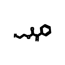 O=C(Nc1ccccc1)OCCF